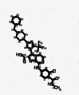 CNC(=O)c1ccc(Nc2nccn3c(-c4cn(C5CCN(Cc6ccccc6)CC5)nc4C(F)(F)F)cnc23)cc1Cl.O=CO